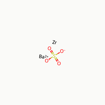 O=S(=O)([O-])[O-].[Ba+2].[Zr]